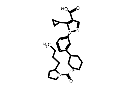 CCCCC1CCCN1C(=O)[C@H]1CCCC(c2cccc(-n3ncc(C(=O)O)c3C3CC3)c2)C1